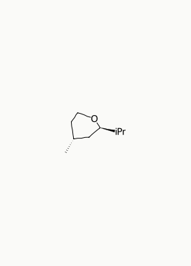 CC(C)[C@H]1C[C@H](C)CCO1